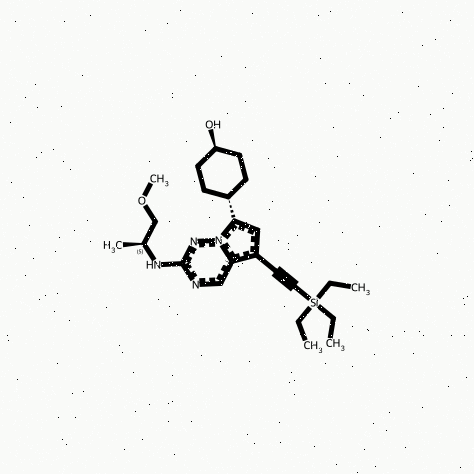 CC[Si](C#Cc1cc([C@H]2CC[C@H](O)CC2)n2nc(N[C@@H](C)COC)ncc12)(CC)CC